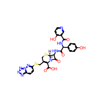 O=C(O)C1=C(CSc2ccc3nnnn3n2)CS[C@@H]2C(NC(=O)C(NC(=O)c3cnccc3O)c3ccc(O)cc3)C(=O)N12